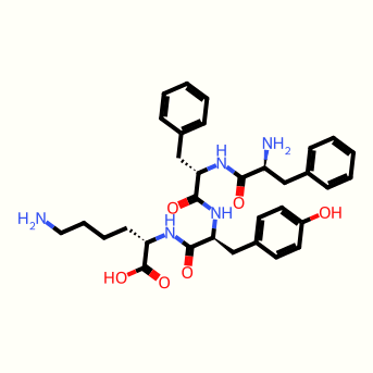 NCCCC[C@H](NC(=O)[C@H](Cc1ccc(O)cc1)NC(=O)[C@H](Cc1ccccc1)NC(=O)[C@@H](N)Cc1ccccc1)C(=O)O